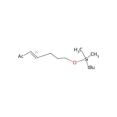 CC(=O)/C=C/CCCO[Si](C)(C)C(C)(C)C